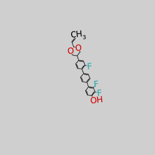 C/C=C/C1OCC(c2ccc(-c3ccc(-c4ccc(O)c(F)c4F)cc3)c(F)c2)CO1